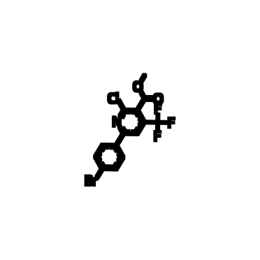 COC(=O)c1c(C(F)(F)F)cc(-c2ccc(Br)cc2)nc1Cl